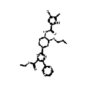 CCCO[C@H]1CN(c2nc(-c3cnccn3)c(C(=O)OCC)s2)CC[C@H]1NC(=O)c1cc(Cl)c(C)[nH]1